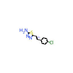 Nc1nnc(/C=C/c2ccc(Cl)cc2)s1